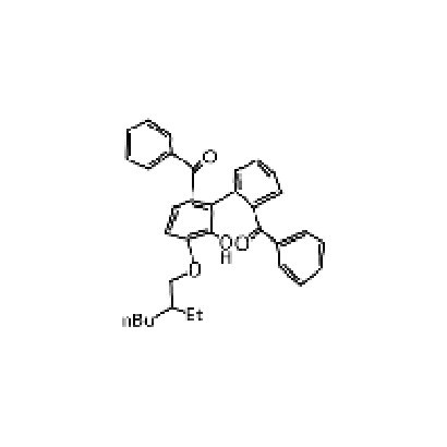 CCCCC(CC)COc1ccc(C(=O)c2ccccc2)c(-c2ccccc2C(=O)c2ccccc2)c1O